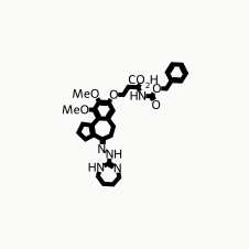 COc1c(OCCC(NC(=O)OCc2ccccc2)C(=O)O)cc2c(c1OC)C1=C(CCC1)C(=NNC1=NCCCCN1)CC2